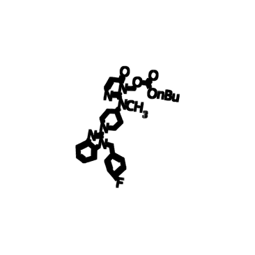 CCCCOC(=O)OCn1c(N(C)C2CCN(c3nc4ccccc4n3Cc3ccc(F)cc3)CC2)nccc1=O